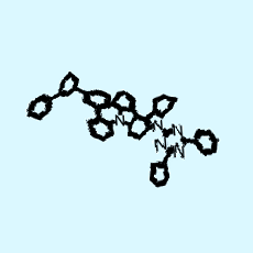 C1=CC2C(c3ccccc3N2c2ccccc2-c2cccc(-c3cccc(-c4ccccc4)c3)c2)c2c1n(-c1nc(-c3ccccc3)nc(-c3ccccc3)n1)c1ccccc21